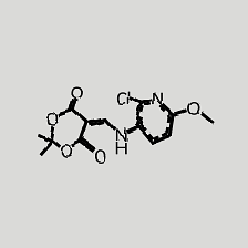 COc1ccc(NC=C2C(=O)OC(C)(C)OC2=O)c(Cl)n1